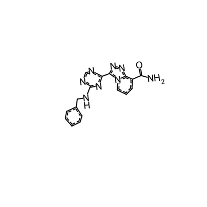 NC(=O)c1cccn2c(-c3ncnc(NCc4ccccc4)n3)nnc12